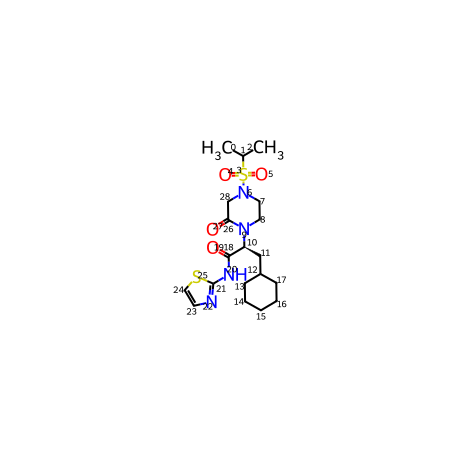 CC(C)S(=O)(=O)N1CCN([C@@H](CC2CCCCC2)C(=O)Nc2nccs2)C(=O)C1